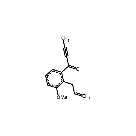 C=CCc1c(OC)cccc1C(=O)C#CC